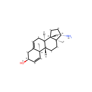 C[C@]12CC[C@H]3[C@@H](CC=C4C[C@H](O)C=C[C@@]43C)[C@@H]1CC[C@@H]2N